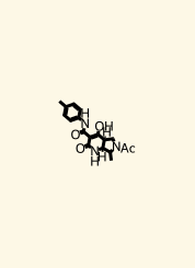 CC(=O)N1C[C@@H]2C(O)=C(C(=O)Nc3ccc(C)cc3)C(=O)N[C@H]2C1C